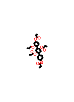 C=CC(=O)Oc1ccc(-c2cc(OC(=O)C=C)c(-c3ccc(OC(=O)C=C)cc3OCCC)cc2OC(=O)C=C)cc1